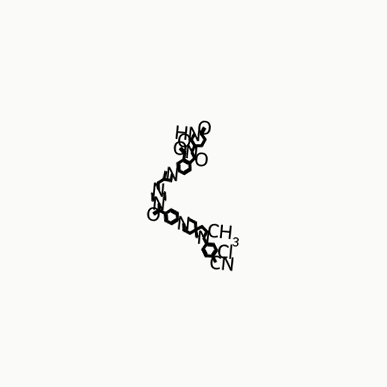 C[C@H]1CC2(CCN(c3ccc(C(=O)N4CCN(CC5CN(c6ccc7c(c6)C(=O)N(C6CCC(=O)NC6=O)C7=O)C5)CC4)cc3)CC2)CN1c1ccc(C#N)c(Cl)c1